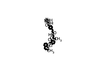 Cc1ccc2cccc(OCc3c(Cl)ccc(N(C)C(=O)CNC(=O)/C=C/c4ccc(C(=O)Nc5nnn[nH]5)cc4)c3Cl)c2n1